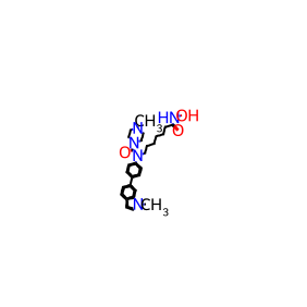 CN1CCN(C(=O)N(CCCCCCC(=O)NO)c2ccc(-c3ccc4ccn(C)c4c3)cc2)CC1